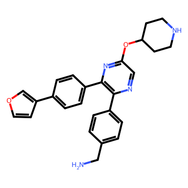 NCc1ccc(-c2ncc(OC3CCNCC3)nc2-c2ccc(-c3ccoc3)cc2)cc1